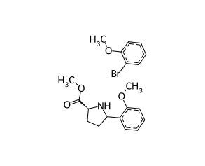 COC(=O)[C@@H]1CCC(c2ccccc2OC)N1.COc1ccccc1Br